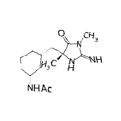 CC(=O)N[C@@H]1CCC[C@H](C[C@@]2(C)NC(=N)N(C)C2=O)C1